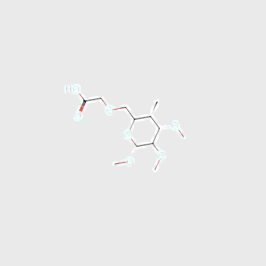 COC1[C@H](OC)OC(COCC(=O)O)[C@@H](C)[C@@H]1OC